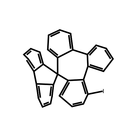 Ic1cccc2c1-c1ccccc1-c1ccccc1C21c2ccccc2-c2ccccc21